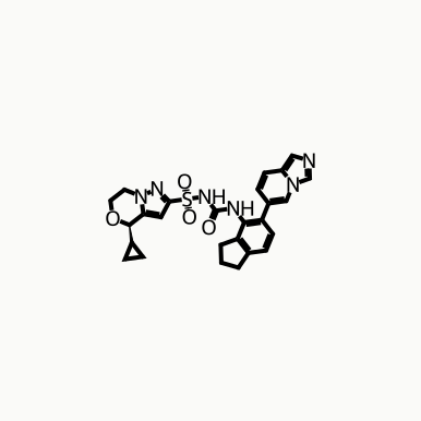 O=C(Nc1c(-c2ccc3cncn3c2)ccc2c1CCC2)NS(=O)(=O)c1cc2n(n1)CCO[C@@H]2C1CC1